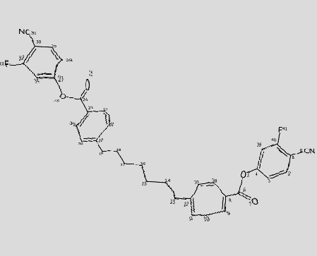 N#Cc1ccc(OC(=O)C2=CCC=C(CCCCCCCc3ccc(C(=O)Oc4ccc(C#N)c(F)c4)cc3)C=C2)cc1F